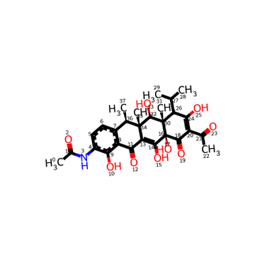 CC(=O)Nc1ccc2c(c1O)C(=O)C1=C(O)[C@@]3(O)C(=O)C(C(C)=O)=C(O)C(C(C)C)[C@@]3(C)[C@H](O)[C@@]1(C)[C@@H]2C